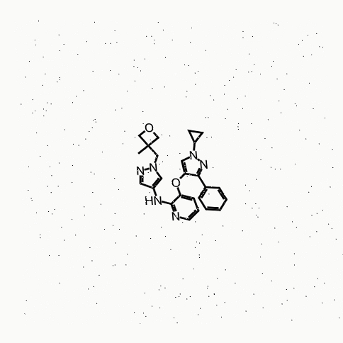 CC1(Cn2cc(Nc3ncccc3Oc3cn(C4CC4)nc3-c3ccccc3)cn2)COC1